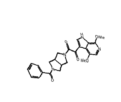 COc1ncc(OC)c2c(C(=O)C(=O)N3CC4CN(C(=O)c5ccccc5)CC4C3)c[nH]c12